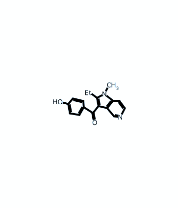 CCc1c(C(=O)c2ccc(O)cc2)c2cnccc2n1C